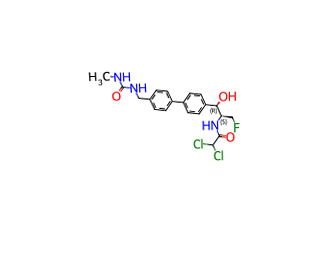 CNC(=O)NCc1ccc(-c2ccc([C@@H](O)[C@@H](CF)NC(=O)C(Cl)Cl)cc2)cc1